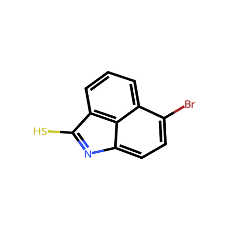 SC1=Nc2ccc(Br)c3cccc1c23